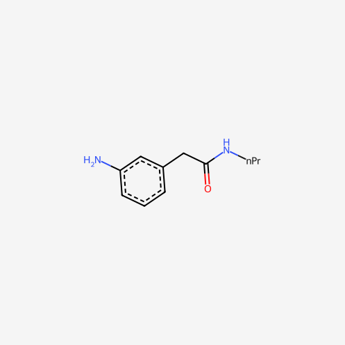 CCCNC(=O)Cc1cccc(N)c1